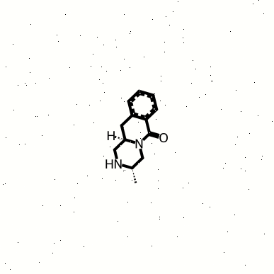 C[C@H]1CN2C(=O)c3ccccc3C[C@@H]2CN1